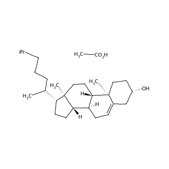 CC(=O)O.CC(C)CCCC(C)[C@H]1CC[C@H]2[C@@H]3CC=C4C[C@@H](O)CC[C@]4(C)[C@H]3CC[C@]12C